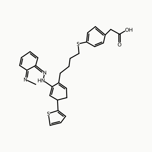 C/N=C1/C=CC=C/C1=N/NC1=CC(c2cccs2)CC=C1CCCCSc1ccc(CC(=O)O)cc1